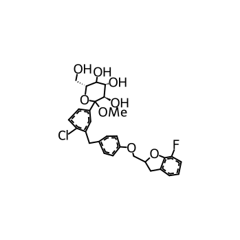 COC1(c2ccc(Cl)c(Cc3ccc(OCC4Cc5cccc(F)c5O4)cc3)c2)O[C@H](CO)C(O)[C@H](O)[C@H]1O